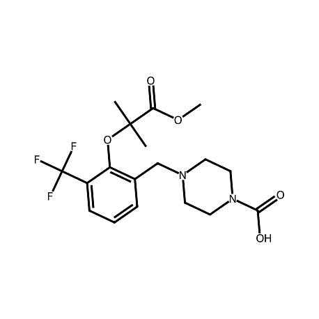 COC(=O)C(C)(C)Oc1c(CN2CCN(C(=O)O)CC2)cccc1C(F)(F)F